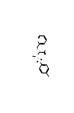 Br.Cc1ccc(S(=O)(=O)N(C)[C@@H](Cc2ccccn2)C(=O)O)cc1